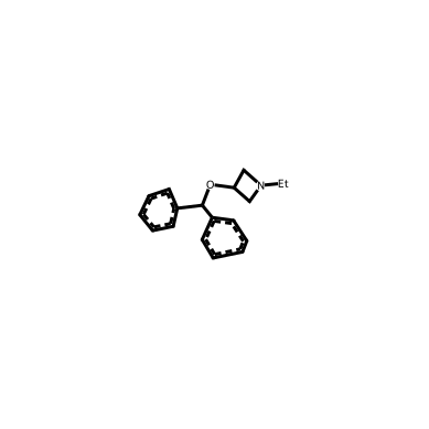 CCN1CC(OC(c2ccccc2)c2ccccc2)C1